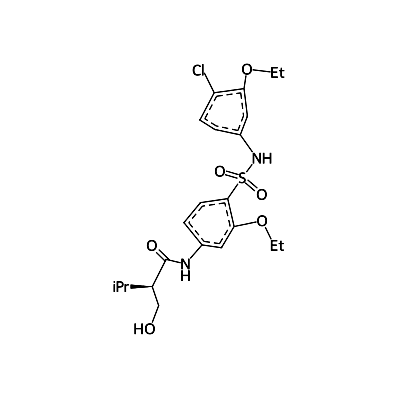 CCOc1cc(NS(=O)(=O)c2ccc(NC(=O)[C@@H](CO)C(C)C)cc2OCC)ccc1Cl